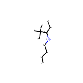 CCCCNC(CC)C(C)(C)C